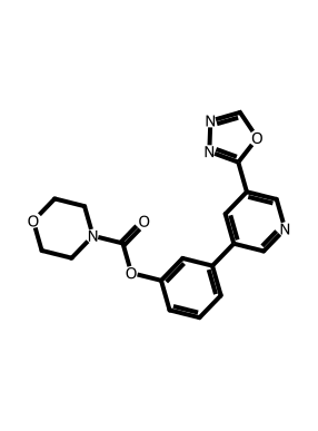 O=C(Oc1cccc(-c2cncc(-c3nnco3)c2)c1)N1CCOCC1